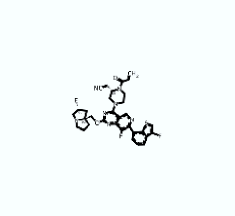 C=CC(=O)N1CCN(c2nc(OC[C@@]34CCCN3C[C@H](F)C4)nc3c(F)c(-c4cccc5c(F)csc45)ncc23)C[C@@H]1CC#N